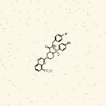 CCCc1ccc(CNC(=O)C2CN(c3cnc4cccc(C(=O)O)c4n3)CCN2S(=O)(=O)c2ccc(CC)cc2)cc1